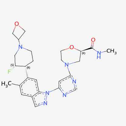 CNC(=O)[C@H]1CN(c2cc(-n3ncc4cc(C)c([C@H]5CCN(C6COC6)C[C@H]5F)cc43)ncn2)CCO1